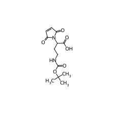 CC(C)(C)OC(=O)NCCC(C(=O)O)N1C(=O)C=CC1=O